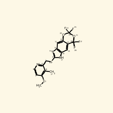 COc1ccnc(CSc2nc3cc4c(cc3[nH]2)C(F)(F)OC(F)(F)O4)c1C